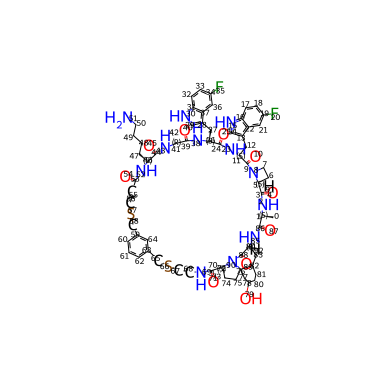 C[C@@H]1NC(=O)[C@@H]2CCN2C(=O)[C@H](Cc2c[nH]c3ccc(F)cc23)NC(=O)[C@H](Cc2c[nH]c3ccc(F)cc23)NC(=O)[C@@H](C)NC(=O)[C@H](CCCCN)NC(=O)CCSCc2cccc(c2)CSCCNC(=O)[C@]2(C)CCC34CC(O)CCC3C[C@H](NC1=O)C(=O)N42